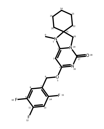 CN1c2cc(OCc3cc(F)c(F)cc3F)nc(=O)n2CC12CCCCC2